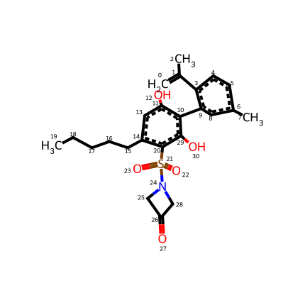 C=C(C)c1ccc(C)cc1-c1c(O)cc(CCCCC)c(S(=O)(=O)N2CC(=O)C2)c1O